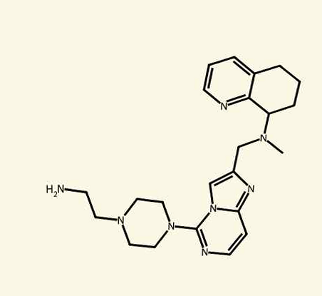 CN(Cc1cn2c(N3CCN(CCN)CC3)nccc2n1)C1CCCc2cccnc21